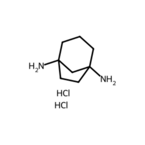 Cl.Cl.NC12CCCC(N)(CC1)C2